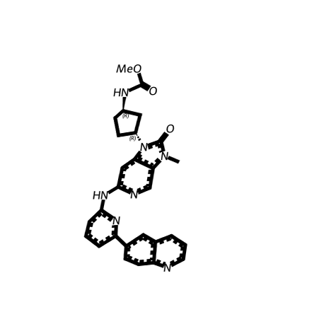 COC(=O)N[C@@H]1CC[C@@H](n2c(=O)n(C)c3cnc(Nc4cccc(-c5ccc6ncccc6c5)n4)cc32)C1